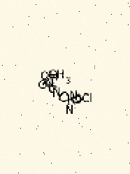 CCN(C(=O)O)[C@@H]1CCN(C2CCC(C#N)(c3ccc(Cl)cn3)CC2)C1